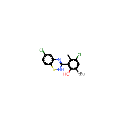 Cc1c(Cl)cc(C(C)(C)C)c(O)c1C1=Nc2cc(Cl)ccc2SN1